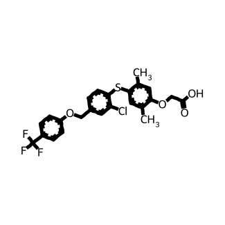 Cc1cc(Sc2ccc(COc3ccc(C(F)(F)F)cc3)cc2Cl)c(C)cc1OCC(=O)O